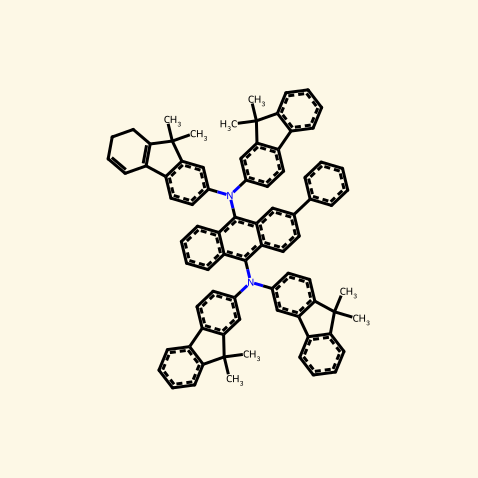 CC1(C)C2=C(C=CCC2)c2ccc(N(c3ccc4c(c3)C(C)(C)c3ccccc3-4)c3c4ccccc4c(N(c4ccc5c(c4)-c4ccccc4C5(C)C)c4ccc5c(c4)C(C)(C)c4ccccc4-5)c4ccc(-c5ccccc5)cc34)cc21